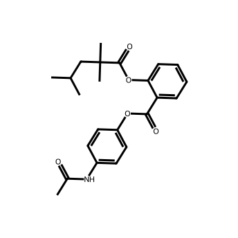 CC(=O)Nc1ccc(OC(=O)c2ccccc2OC(=O)C(C)(C)CC(C)C)cc1